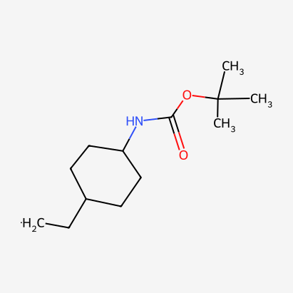 [CH2]CC1CCC(NC(=O)OC(C)(C)C)CC1